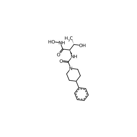 C[C@H](O)[C@@H](NC(=O)N1CCC(c2ccccc2)CC1)C(=O)NO